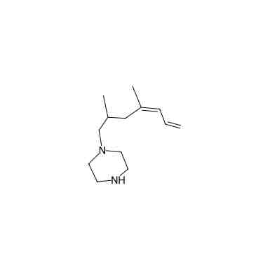 C=C/C=C(/C)CC(C)CN1CCNCC1